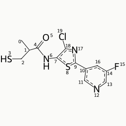 CC(CS)C(=O)Nc1sc(-c2cncc(F)c2)nc1Cl